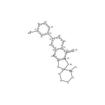 CN1CCCCC12Cc1nc3cc(-c4cccc(F)c4)ccc3c(=O)n1C2